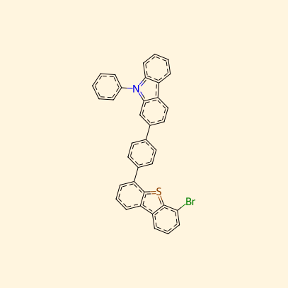 Brc1cccc2c1sc1c(-c3ccc(-c4ccc5c6ccccc6n(-c6ccccc6)c5c4)cc3)cccc12